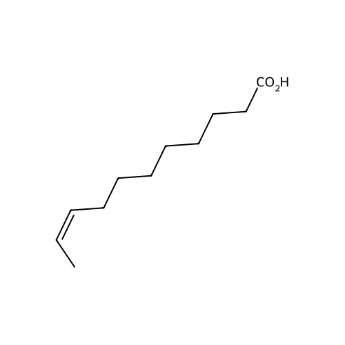 C/C=C\CCCCCCCC(=O)O